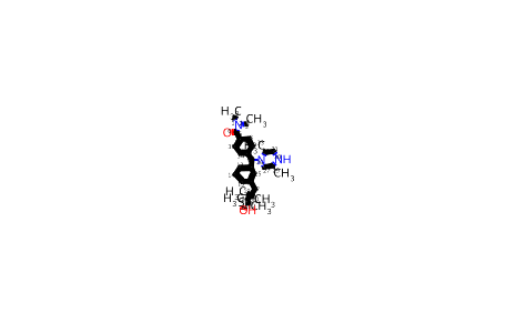 CCN(CC)C(=O)c1ccc([C@H](c2cccc(CC(C)(C)[Si](C)(C)O)c2)N2C[C@@H](C)NC[C@@H]2C)cc1